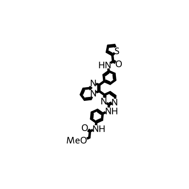 COCC(=O)Nc1cccc(Nc2nccc(-c3c(-c4cccc(NC(=O)c5cccs5)c4)nc4ccccn34)n2)c1